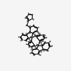 C1=CN=C(Cc2cccc3c2-c2ccccc2C32c3ccccc3C3(c4ccccc4-c4ccccc43)c3ccccc32)C1